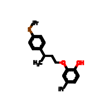 CC(C)Sc1ccc(C(C)CCOc2cc(C(C)C)ccc2O)cc1